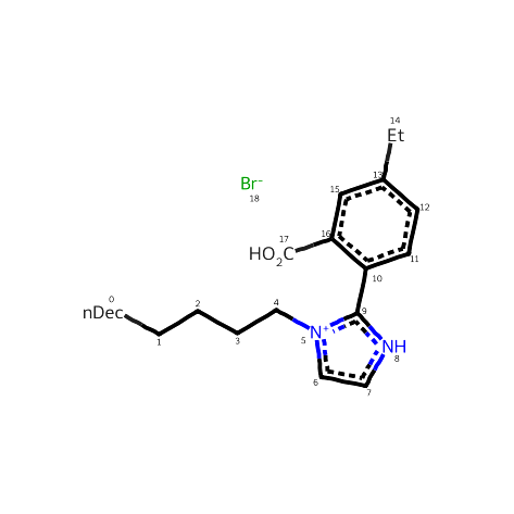 CCCCCCCCCCCCCC[n+]1cc[nH]c1-c1ccc(CC)cc1C(=O)O.[Br-]